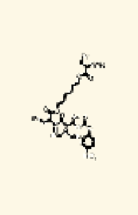 CCCCN(CCCC)C(C(=O)NC(CC(C)C)C(=O)OCCCCCCOC(=O)C(CC(C)C)NC)C(OC(=O)Oc1ccc([N+](=O)[O-])cc1)C(C)=O